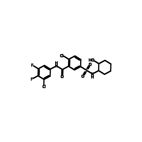 O=C(Nc1cc(F)c(F)c(Cl)c1)c1cc(S(=O)(=O)NC2CCCCC2O)ccc1Cl